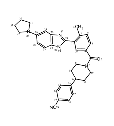 Cc1ccc(C(=O)N2CCC(c3ccc(C#N)cc3)CC2)cc1-c1nc2cc(N3CCCC3)ccc2[nH]1